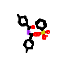 Cc1ccc(C(=O)[I+]C(=O)c2ccc(C)cc2)cc1.O=S(=O)([O-])c1ccccc1